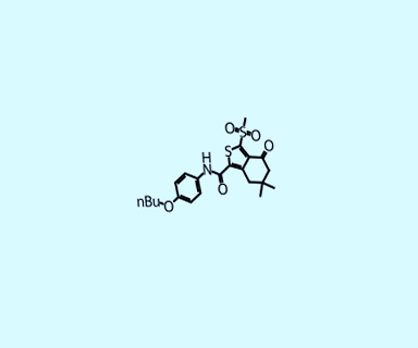 CCCCOc1ccc(NC(=O)c2sc(S(C)(=O)=O)c3c2CC(C)(C)CC3=O)cc1